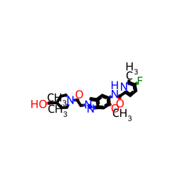 COc1cc2nn(CC(=O)N3CCC(C(C)(C)O)CC3)cc2cc1NC(=O)c1ccc(F)c(C)n1